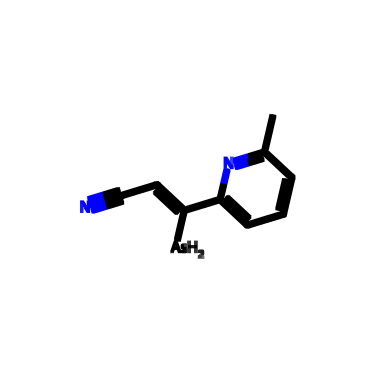 Cc1cccc(C([AsH2])=CC#N)n1